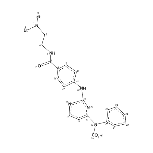 CCN(CC)CCNC(=O)c1ccc(Nc2nccc(N(C(=O)O)c3ccccc3)n2)cc1